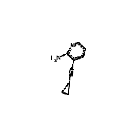 Nc1ncccc1C#CC1CC1